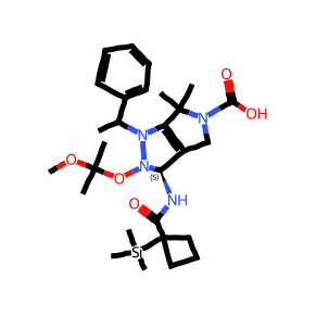 COC(C)(C)ON1[C@H](NC(=O)C2([Si](C)(C)C)CCC2)C2=C(N1C(C)c1ccccc1)C(C)(C)N(C(=O)O)C2